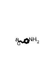 CN(C)C(=O)CCc1ccc(N)cc1